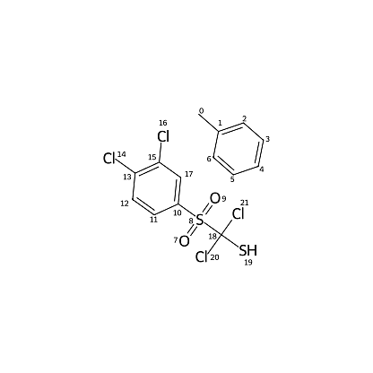 Cc1ccccc1.O=S(=O)(c1ccc(Cl)c(Cl)c1)C(S)(Cl)Cl